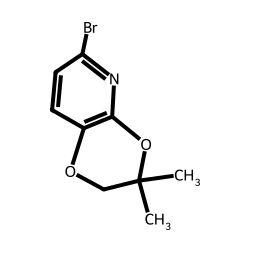 CC1(C)COc2ccc(Br)nc2O1